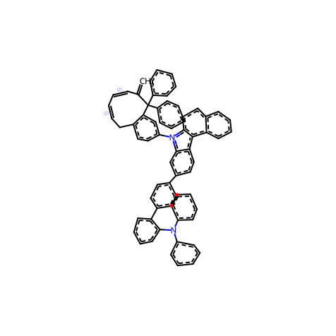 C=C1/C=C\C=C/Cc2ccc(-n3c4cc(-c5ccc(-c6ccccc6N(c6ccccc6)c6ccccc6)cc5)ccc4c4c5ccccc5ccc43)cc2C1(c1ccccc1)c1ccccc1